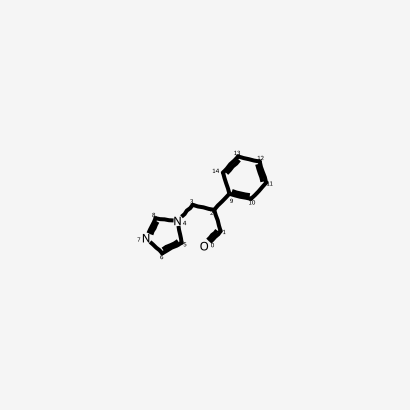 O=CC(Cn1ccnc1)c1ccccc1